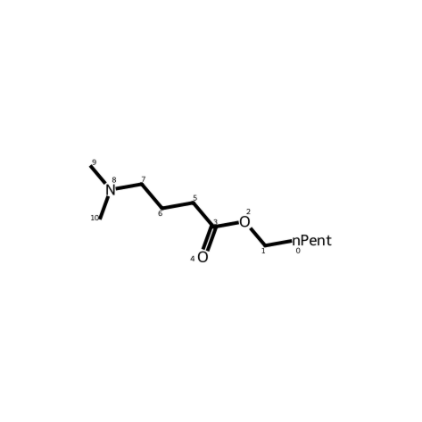 CCCCCCOC(=O)CCCN(C)C